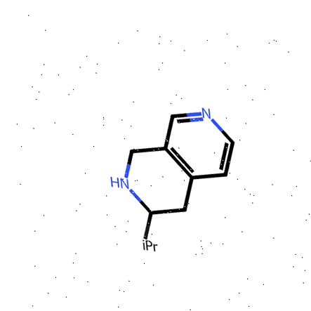 CC(C)C1Cc2ccncc2CN1